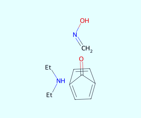 C=NO.CCNCC.O=C1C2=CC=C1C=C2